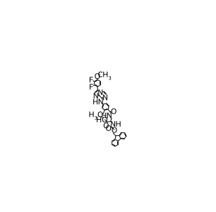 CCc1cc(Nc2nccn3c(-c4ccc(OC)c(F)c4F)cnc23)ccc1C(=O)NCC(NC(=O)OCC1c2ccccc2-c2ccccc21)C(=O)O